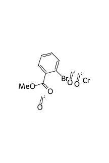 COC(=O)c1ccccc1Br.[C]=O.[C]=O.[C]=O.[Cr]